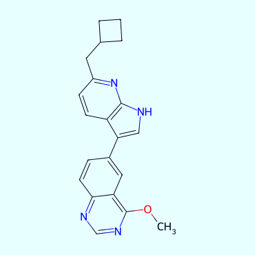 COc1ncnc2ccc(-c3c[nH]c4nc(CC5CCC5)ccc34)cc12